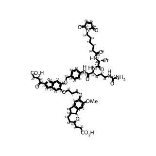 COc1cc2c(cc1OCCCOc1cc3cc(C(=O)CCC(=O)O)sc3cc1OCc1ccc(NC(=O)[C@H](CCCNC(N)=O)NC(=O)[C@@H](NC(=O)CCCCCN3C(=O)C=CC3=O)C(C)C)cc1)CC(CCC(=O)CCC(=O)O)C2